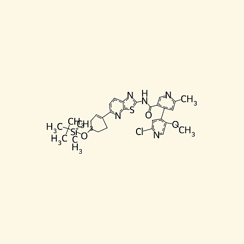 COc1cnc(Cl)cc1-c1cc(C)ncc1C(=O)Nc1nc2ccc(C3=CCC(O[Si](C)(C)C(C)(C)C)CC3)nc2s1